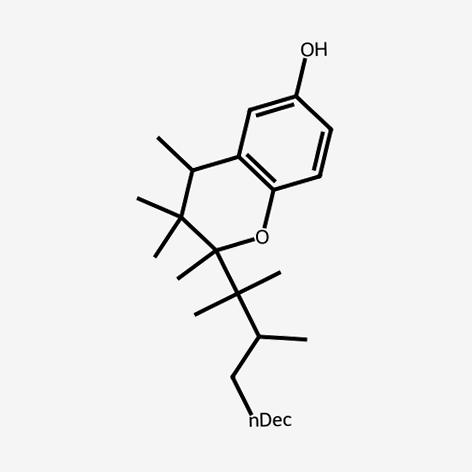 CCCCCCCCCCCC(C)C(C)(C)C1(C)Oc2ccc(O)cc2C(C)C1(C)C